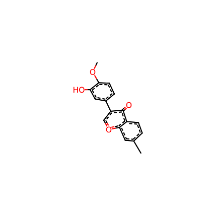 COc1ccc(-c2coc3cc(C)ccc3c2=O)cc1O